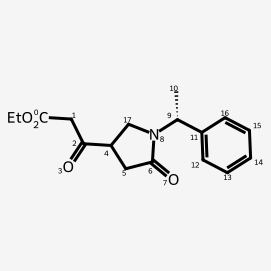 CCOC(=O)CC(=O)C1CC(=O)N([C@H](C)c2ccccc2)C1